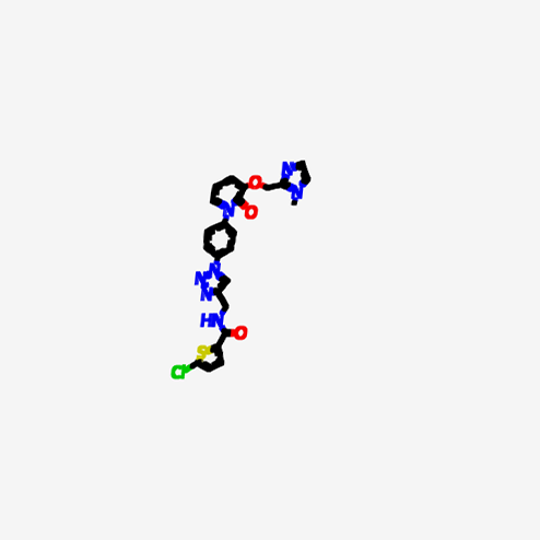 Cn1ccnc1COc1cccn(-c2ccc(-n3cc(CNC(=O)c4ccc(Cl)s4)nn3)cc2)c1=O